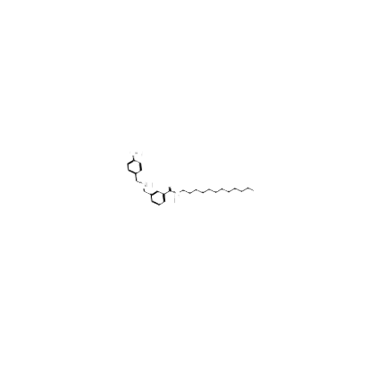 CCCCCCCCCCCCNC(=O)c1cccc(CNCc2ccc(O)cc2)c1